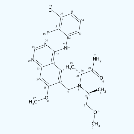 COC[C@H](C)N(Cc1cc2c(Nc3cccc(Cl)c3F)ncnc2cc1OC)[C@H](C)C(N)=O